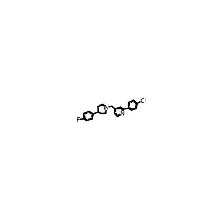 Fc1ccc(C2CCN(Cc3ccnc(-c4ccc(Cl)cc4)c3)CC2)cc1